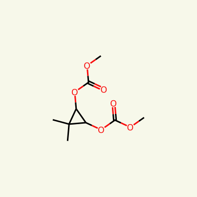 COC(=O)OC1C(OC(=O)OC)C1(C)C